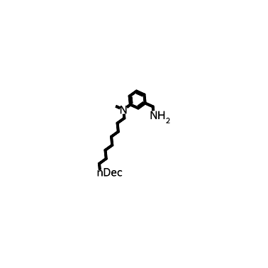 CCCCCCCCCCCCCCCCCCN(C)c1cccc(CN)c1